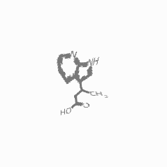 CC(CC(=O)O)c1c[nH]c2ncccc12